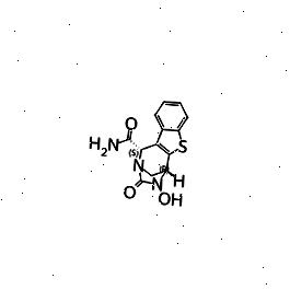 NC(=O)[C@@H]1c2c(sc3ccccc23)[C@H]2CN1C(=O)N2O